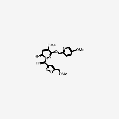 COCc1cc(C(=N)n2nc(OCc3ccc(OC)cn3)c(OC)cc2=N)no1